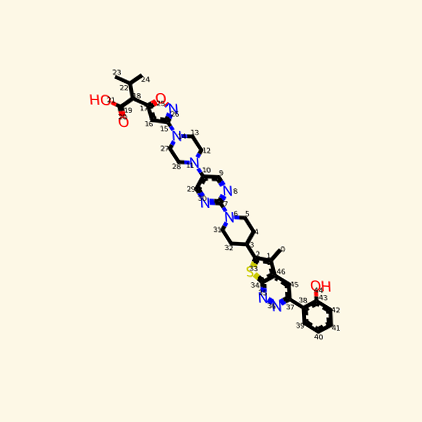 Cc1c(C2CCN(c3ncc(N4CCN(c5cc(C(C(=O)O)C(C)C)on5)CC4)cn3)CC2)sc2nnc(-c3ccccc3O)cc12